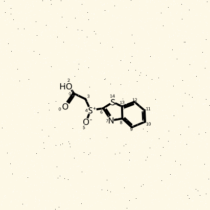 O=C(O)C[S+]([O-])c1nc2ccccc2s1